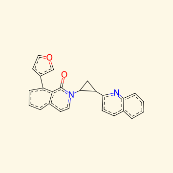 O=c1c2c(-c3ccoc3)cccc2ccn1C1CC1c1ccc2ccccc2n1